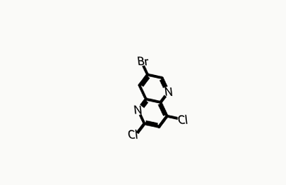 Clc1cc(Cl)c2ncc(Br)cc2n1